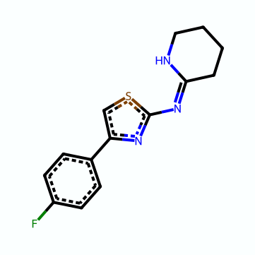 Fc1ccc(-c2csc(/N=C3/CCCCN3)n2)cc1